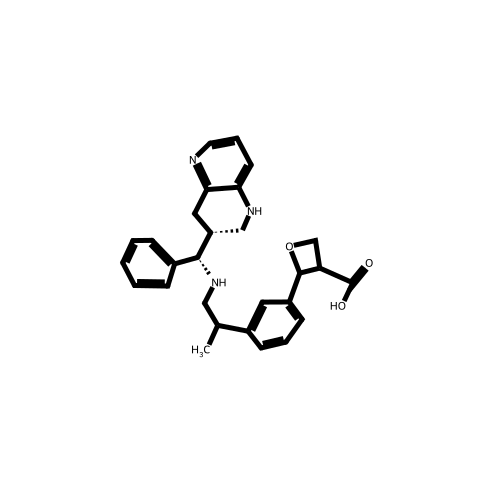 CC(CN[C@H](c1ccccc1)[C@H]1CNc2cccnc2C1)c1cccc(C2OCC2C(=O)O)c1